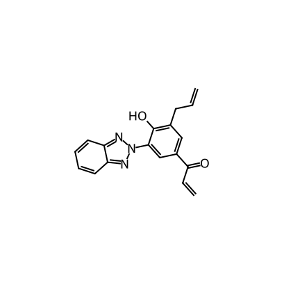 C=CCc1cc(C(=O)C=C)cc(-n2nc3ccccc3n2)c1O